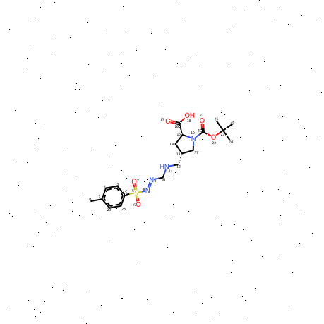 Cc1ccc(S(=O)(=O)N=NCNC[C@@H]2C[C@@H](C(=O)O)N(C(=O)OC(C)(C)C)C2)cc1